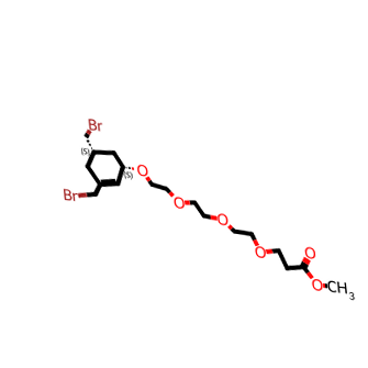 COC(=O)CCOCCOCCOCCO[C@@H]1C=C(CBr)C[C@H](CBr)C1